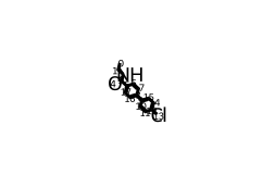 CCNC(=O)c1ccc(-c2ccc(Cl)cc2)cc1